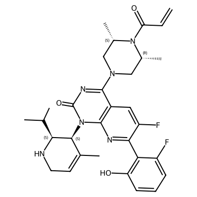 C=CC(=O)N1[C@H](C)CN(c2nc(=O)n([C@H]3C(C)=CCN[C@H]3C(C)C)c3nc(-c4c(O)cccc4F)c(F)cc23)C[C@@H]1C